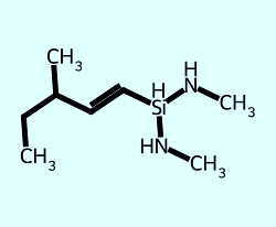 CCC(C)C=C[SiH](NC)NC